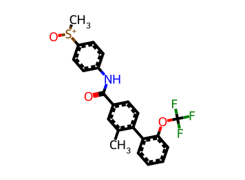 Cc1cc(C(=O)Nc2ccc([S+](C)[O-])cc2)ccc1-c1ccccc1OC(F)(F)F